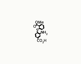 COC(=O)c1ccccc1Sc1ccc(C(=O)O)cc1N